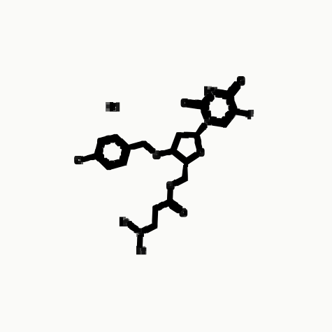 CCN(CC)CCC(=O)OC[C@@H]1O[C@H](n2cc(F)c(=O)[nH]c2=O)CC1OCc1ccc(Cl)cc1.Cl